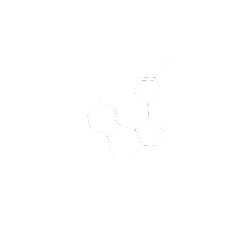 Cc1onc(-c2ccc(Cl)o2)c1-c1ccccc1F